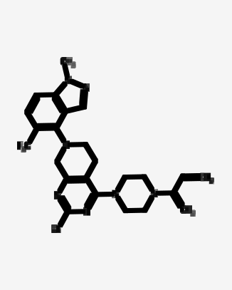 C=CC(=C)N1CCN(c2nc(CC)nc3c2CCN(c2c(C(F)(F)F)ccc4c2cnn4C)C3)CC1